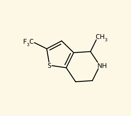 CC1NCCc2sc(C(F)(F)F)cc21